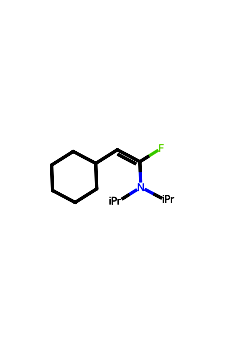 CC(C)N(/C(F)=C\C1CCCCC1)C(C)C